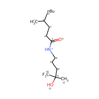 CCCCC(C)CCC(=O)NCCCC(C)(O)C(F)(F)F